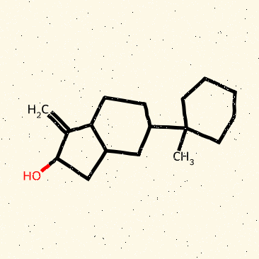 C=C1C(O)CC2CC(C3(C)CCCCC3)CCC12